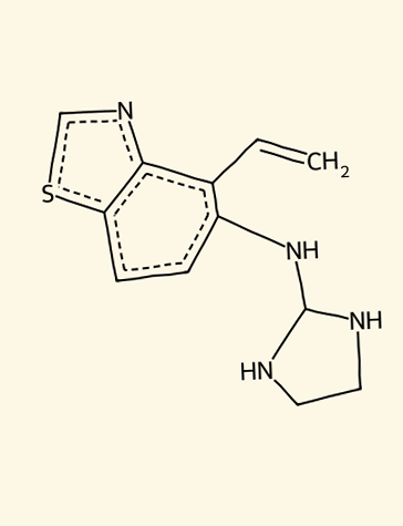 C=Cc1c(NC2NCCN2)ccc2scnc12